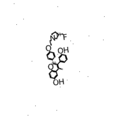 CC1=C(c2cccc(O)c2)[C@@H](c2ccc(OCCN3CC[C@@H](CF)C3)cc2)Oc2ccc(O)cc21